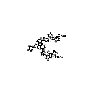 COC(=O)N[C@H](C(=O)N1CCC[C@H]1c1ncc(-c2cccc(C3(c4cccc(-c5cnc([C@@H]6CCCN6C(=O)[C@@H](NC(=O)OC)C(C)C)[nH]5)c4)CN(c4ccccc4)C3)c2)[nH]1)C(C)C